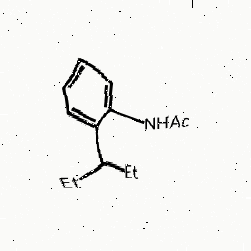 CCC(CC)c1ccccc1NC(C)=O